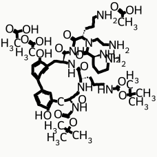 CC(=O)O.CC(=O)O.CC(=O)O.CC(C)(C)OC(=O)NCCC[C@@H]1NC(=O)[C@@H](NC(=O)OC(C)(C)C)Cc2cc(ccc2O)-c2ccc(O)c(c2)C[C@@H](C(=O)NC(=O)[C@H](CCCN)N(CCN)C(=O)[C@@H](N)CCCN)NC1=O